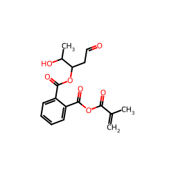 C=C(C)C(=O)OC(=O)c1ccccc1C(=O)OC(CC=O)C(C)O